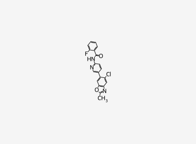 Cc1nc2cc(Cl)c(-c3ccc(NC(=O)c4ccccc4F)nc3)cc2o1